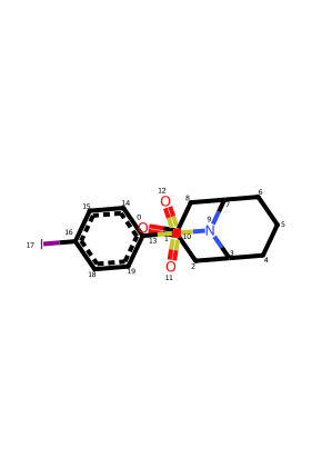 O=C1CC2CCCC(C1)N2S(=O)(=O)c1ccc(I)cc1